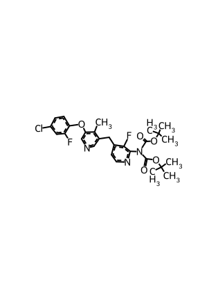 Cc1c(Cc2ccnc(N(C(=O)OC(C)(C)C)C(=O)OC(C)(C)C)c2F)cncc1Oc1ccc(Cl)cc1F